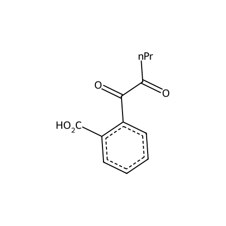 CCCC(=O)C(=O)c1ccccc1C(=O)O